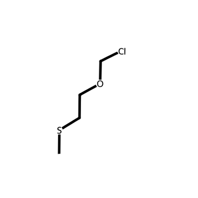 CSCCOCCl